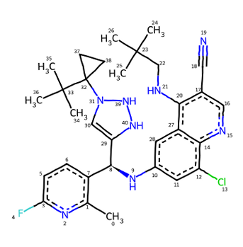 Cc1nc(F)ccc1[C@H](Nc1cc(Cl)c2ncc(C#N)c(NCC(C)(C)C)c2c1)C1=CN(C2(C(C)(C)C)CC2)NN1